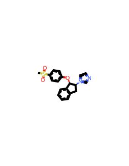 CS(=O)(=O)c1ccc(O[C@@H]2c3ccccc3C[C@@H]2n2ccnc2)cc1